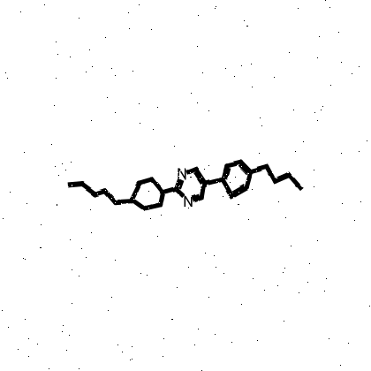 CCCCCC1CCC(c2ncc(-c3ccc(CCCC)cc3)cn2)CC1